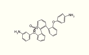 Nc1ccc(Oc2ccccc2-c2cccc([SH](=O)=O)c2-c2ccccc2Oc2cccc(N)c2)cc1